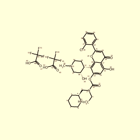 CCN(C[C@@H]1CCCCN1)C(=O)Oc1cc(O)c2c(=O)cc(-c3ccccc3Cl)oc2c1[C@H]1CCN(C)C[C@H]1O.O=C(O)C(F)(F)F.O=C(O)C(F)(F)F